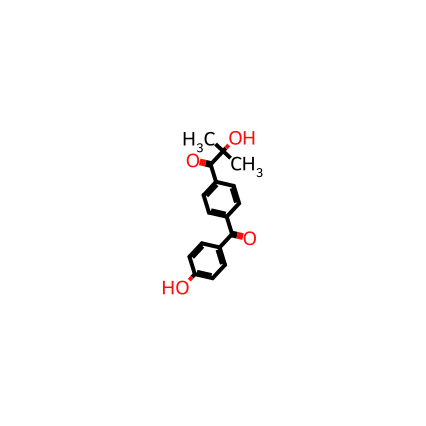 CC(C)(O)C(=O)c1ccc(C(=O)c2ccc(O)cc2)cc1